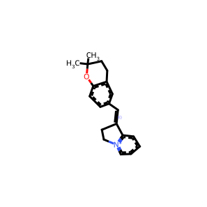 CC1(C)CCc2cc(/C=C3\CC[n+]4ccccc43)ccc2O1